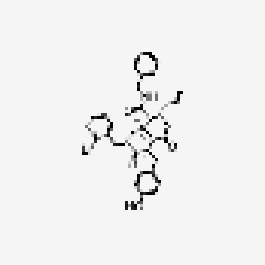 C=CCN1CC(=O)N2[C@@H](Cc3ccc(O)cc3)C(=O)N(Cc3cccnc3Br)C[C@@H]2N1C(=O)NCc1ccccc1